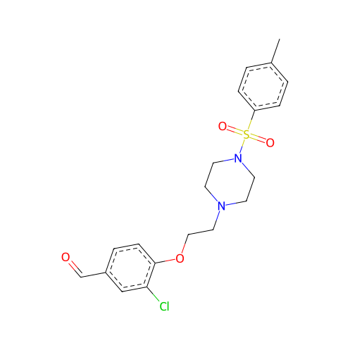 Cc1ccc(S(=O)(=O)N2CCN(CCOc3ccc(C=O)cc3Cl)CC2)cc1